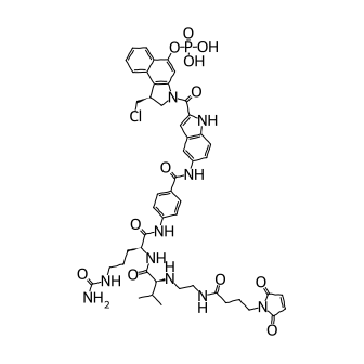 CC(C)[C@H](NCCNC(=O)CCCN1C(=O)C=CC1=O)C(=O)N[C@@H](CCCNC(N)=O)C(=O)Nc1ccc(C(=O)Nc2ccc3[nH]c(C(=O)N4C[C@@H](CCl)c5c4cc(OP(=O)(O)O)c4ccccc54)cc3c2)cc1